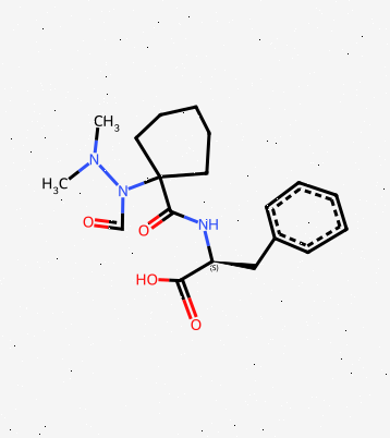 CN(C)N(C=O)C1(C(=O)N[C@@H](Cc2ccccc2)C(=O)O)CCCCC1